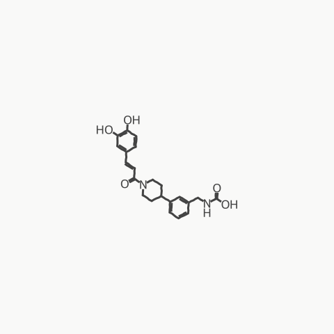 O=C(O)NCc1cccc(C2CCN(C(=O)/C=C/c3ccc(O)c(O)c3)CC2)c1